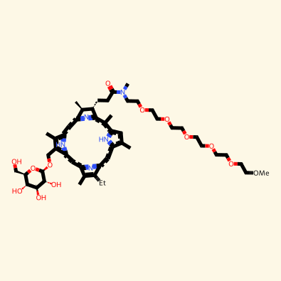 CCC1=C(C)c2cc3[nH]c(cc4nc(c(C)c5cc(C)c(cc1n2)[nH]5)[C@@H](CCC(=O)N(C)CCOCCOCCOCCOCCOCCOC)[C@@H]4C)c(C)c3CO[C@@H]1O[C@H](CO)[C@@H](O)[C@H](O)[C@H]1O